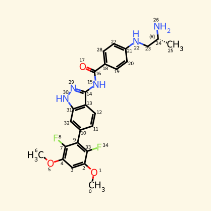 COc1cc(OC)c(F)c(-c2ccc3c(NC(=O)c4ccc(NC[C@@H](C)N)cc4)n[nH]c3c2)c1F